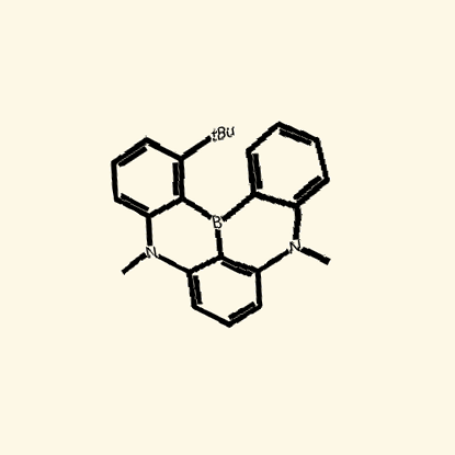 CN1c2ccccc2B2c3c1cccc3N(C)c1cccc(C(C)(C)C)c12